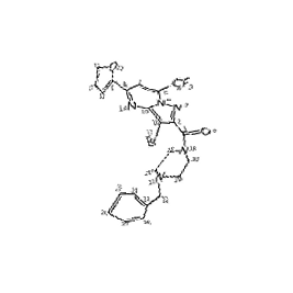 O=C(c1nn2c(C(F)(F)F)cc(-c3ccco3)nc2c1Br)N1CCN(Cc2ccccc2)CC1